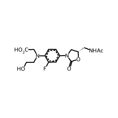 CC(=O)NC[C@H]1CN(c2ccc(N(CCO)CC(=O)O)c(F)c2)C(=O)O1